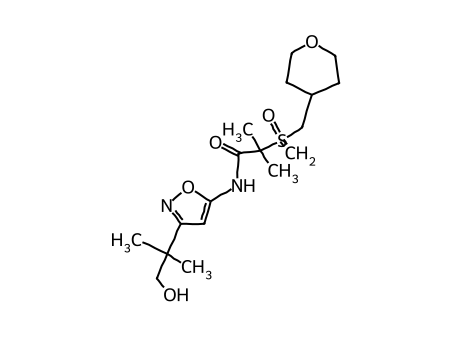 C=S(=O)(CC1CCOCC1)C(C)(C)C(=O)Nc1cc(C(C)(C)CO)no1